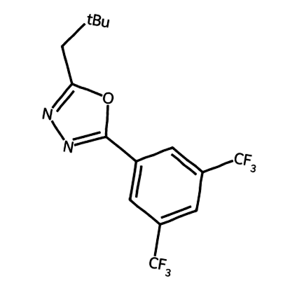 CC(C)(C)Cc1nnc(-c2cc(C(F)(F)F)cc(C(F)(F)F)c2)o1